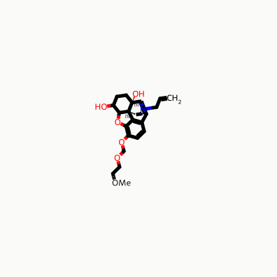 C=CCN1CC[C@]23c4c5ccc(OCOCCOC)c4OC2C(O)CC[C@@]3(O)C1=C5